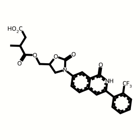 CC(CC(=O)O)C(=O)OCC1CN(c2ccc3cc(-c4ccccc4C(F)(F)F)[nH]c(=O)c3c2)C(=O)O1